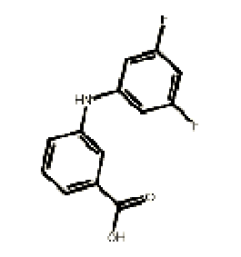 O=C(O)c1cccc(Nc2cc(F)cc(F)c2)c1